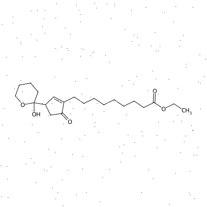 CCOC(=O)CCCCCCCCC1=CC(C2(O)CCCCO2)CC1=O